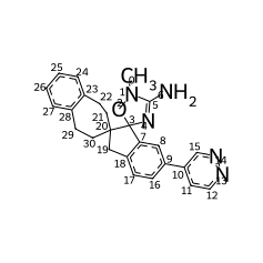 CN1OC2(N=C1N)c1cc(-c3ccnnc3)ccc1CC21CCc2ccccc2CC1